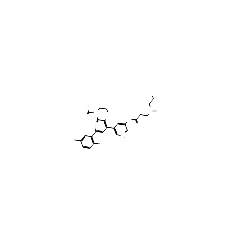 CN(CCO)CCC(=O)Nc1cncc(-c2cc(-c3cc(Cl)ccc3F)nc3c2OCCN3C(=O)O)c1